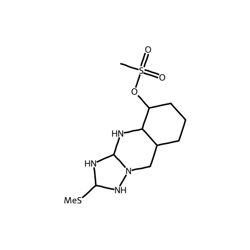 CSC1NC2NC3C(CCCC3OS(C)(=O)=O)CN2N1